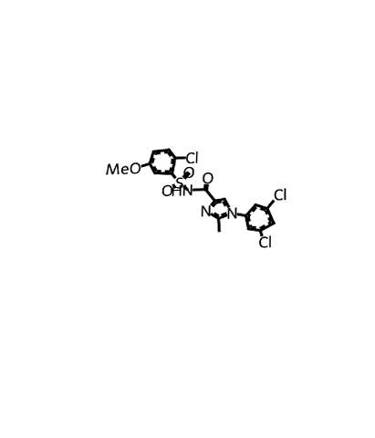 COc1ccc(Cl)c(S(=O)(=O)NC(=O)c2cn(-c3cc(Cl)cc(Cl)c3)c(C)n2)c1